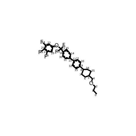 CCCOCC1CCC(c2ccc(-c3ccc(C(F)(F)Oc4cc(F)c(F)c(F)c4)cc3)cc2)CC1